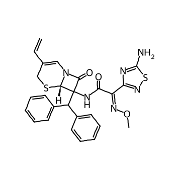 C=CC1=CN2C(=O)C(NC(=O)C(=NOC)c3nsc(N)n3)(C(c3ccccc3)c3ccccc3)[C@@H]2SC1